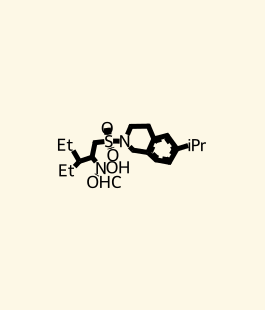 CCC(CC)C(CS(=O)(=O)N1CCc2cc(C(C)C)ccc2C1)N(O)C=O